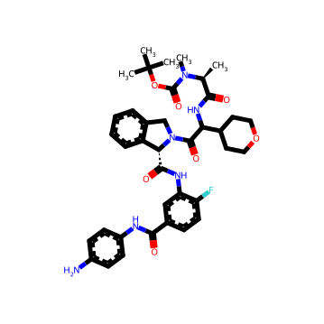 C[C@@H](C(=O)NC(C(=O)N1Cc2ccccc2[C@H]1C(=O)Nc1cc(C(=O)Nc2ccc(N)cc2)ccc1F)C1CCOCC1)N(C)C(=O)OC(C)(C)C